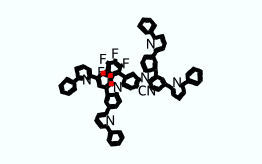 N#Cc1cc(-n2c3ccc(-c4cccc(-c5ccccc5)n4)cc3c3cc(-c4cccc(-c5ccccc5)n4)ccc32)c(-c2c(F)c(F)c(F)c(F)c2F)cc1-n1c2ccc(-c3cccc(-c4ccccc4)n3)cc2c2cc(-c3cccc(-c4ccccc4)n3)ccc21